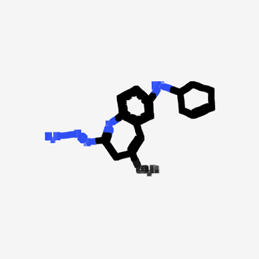 CCOC(=O)C1=Cc2cc(NC3CC=CCC3)ccc2N=C(N=NN)C1